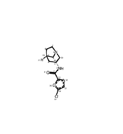 O=C(N[C@@H]1C[C@@H]2CCN(C2)C1)c1ncc(Cl)o1